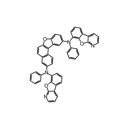 c1ccc(N(c2ccc3c(ccc4oc5ccc(N(c6ccccc6)c6cccc7c6oc6ncccc67)cc5c43)c2)c2cccc3c2oc2ncccc23)cc1